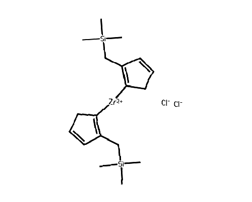 C[Si](C)(C)CC1=[C]([Zr+2][C]2=C(C[Si](C)(C)C)C=CC2)CC=C1.[Cl-].[Cl-]